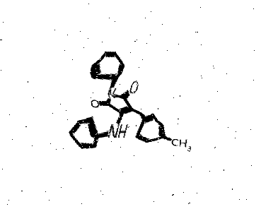 Cc1ccc(C2=C(Nc3ccccc3)C(=O)N(c3ccccc3)C2=O)cc1